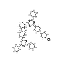 N#Cc1ccc(-c2ccc(-c3nc(-c4ccccc4)nc(-c4cccc5c4oc4cc(-c6nc(-c7ccccc7)nc(-c7ccccc7)n6)ccc45)n3)cc2)cc1